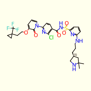 CC1(C)C[C@H](CCCNc2cccc(S(=O)(=O)NC(=O)c3ccc(-n4cccc(OCCC5(C(F)(F)F)CC5)c4=O)nc3Cl)n2)CN1